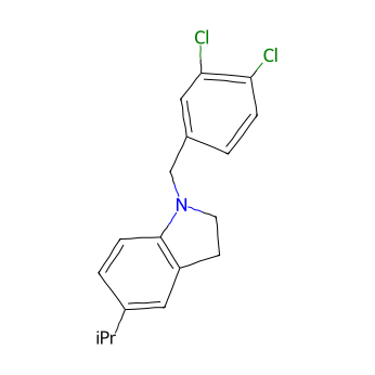 CC(C)c1ccc2c(c1)CCN2Cc1ccc(Cl)c(Cl)c1